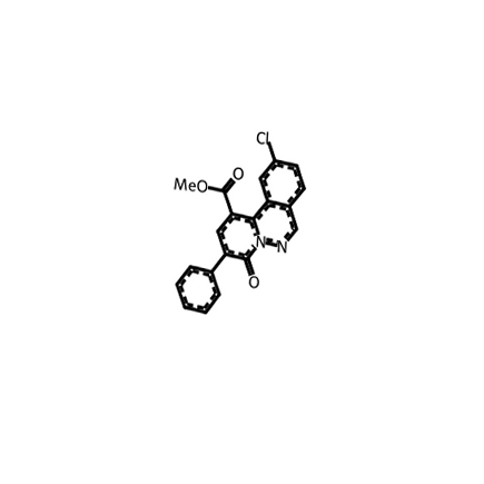 COC(=O)c1cc(-c2ccccc2)c(=O)n2ncc3ccc(Cl)cc3c12